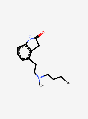 CCCN(CCCC(C)=O)CCc1cccc2c1CC(=O)N2